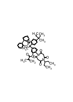 C=C(C)C(=O)Oc1cc(C(C)(c2ccc(C(C)(CC)CC)cc2)P2(=O)Oc3ccccc3-c3ccccc32)ccc1N1C(=O)CC(=O)N(C(CC)CC)C(=O)CC1=O